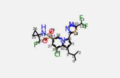 CC(C)Cc1cc(-c2nnc(C(F)F)s2)n2cc(S(=O)(=O)NC3(CF)CC3)cc(Cl)c12